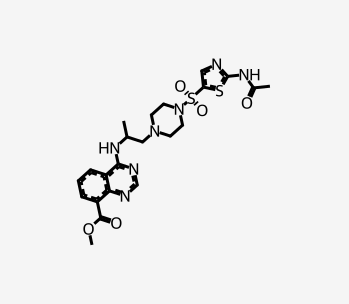 COC(=O)c1cccc2c(NC(C)CN3CCN(S(=O)(=O)c4cnc(NC(C)=O)s4)CC3)ncnc12